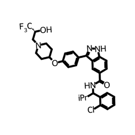 CC(C)C(NC(=O)c1ccc2[nH]nc(-c3ccc(OC4CCN(C[C@@H](O)C(F)(F)F)CC4)cc3)c2c1)c1ccccc1Cl